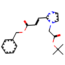 CC(C)(C)OC(=O)Cn1ccnc1/C=C/C(=O)OCc1ccccc1